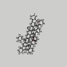 CC1(C)c2ccccc2-c2cc3c4c(c21)N(c1ccccc1)c1cccc2c1B4c1c(cc4cc5c6c(c4c1N2c1ccccc1)Oc1cccc2c1B6c1c(cc4c(c1N2c1ccccc1)C(C)(C)c1ccccc1-4)N5c1ccccc1)O3